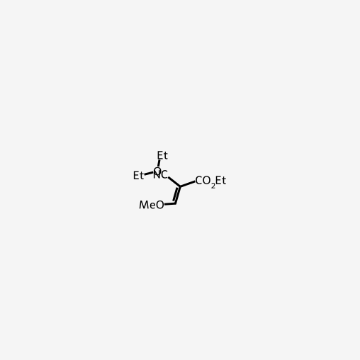 CCOC(=O)C(C#N)=COC.[CH2]COCC